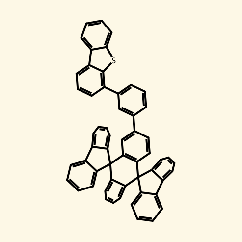 c1cc(-c2ccc3c(c2)C2(c4ccccc4-c4ccccc42)c2ccccc2C32c3ccccc3-c3ccccc32)cc(-c2cccc3c2sc2ccccc23)c1